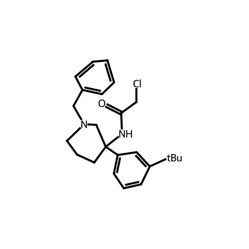 CC(C)(C)c1cccc(C2(NC(=O)CCl)CCCN(Cc3ccccc3)C2)c1